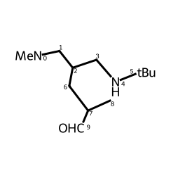 CNCC(CNC(C)(C)C)CC(C)C=O